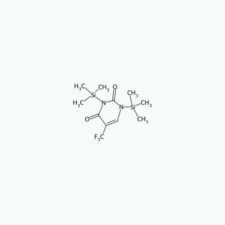 C[Si](C)(C)n1cc(C(F)(F)F)c(=O)n([Si](C)(C)C)c1=O